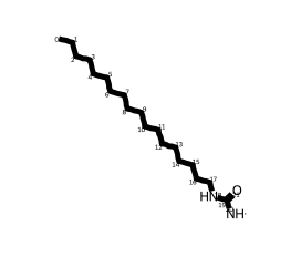 CCCCCCCCCCCCCCCCCCNC([NH])=O